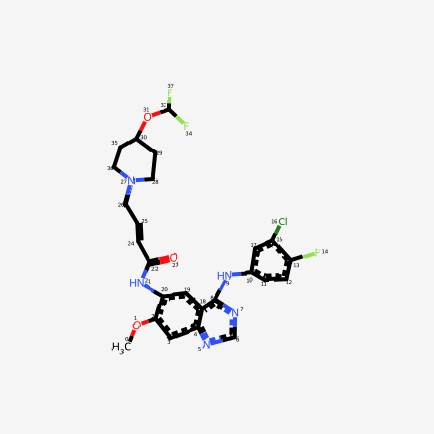 COc1cc2ncnc(Nc3ccc(F)c(Cl)c3)c2cc1NC(=O)/C=C/CN1CCC(OC(F)F)CC1